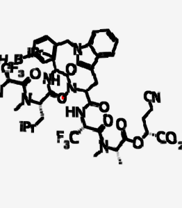 Bc1ccc(Cn2cc(C[C@@H](C(=O)N[C@H](C(=O)N(C)[C@@H](C)C(=O)O[C@H](CCC#N)C(=O)O)C(F)(F)F)N(C)C(=O)[C@H](CC(C)C)NC(=O)[C@H](CC(C)C)N(C)C(=O)[C@@H](N)C(F)(F)F)c3ccccc32)cc1